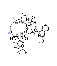 CCC(C)N(C(=O)O)[C@@H]1C(=O)N2[C@@H](C[C@@](C)(Oc3nc(OC)cc4ccccc34)C2(F)F)C(=O)N[C@]2(C(=O)NS(=O)(=O)C3(CF)CC3)C[C@H]2/C=C\CC[C@H](C)C[C@H]1C